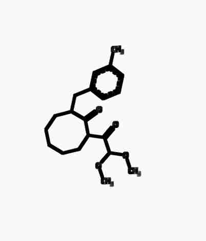 COC(OC)C(=O)C1CCCCCC(Cc2cccc(C)c2)C1=O